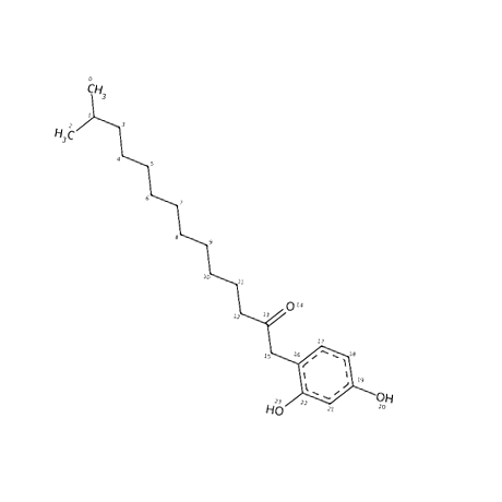 CC(C)CCCCCCCCCCC(=O)Cc1ccc(O)cc1O